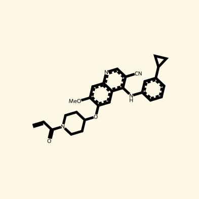 C=CC(=O)N1CCC(Oc2cc3c(Nc4cccc(C5CC5)c4)c(C#N)cnc3cc2OC)CC1